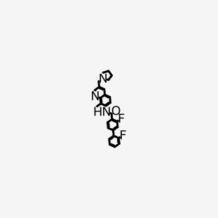 Cc1c(NC(=O)c2ccc(-c3ccccc3F)cc2F)ccc2cc(CN3CCCC3)cnc12